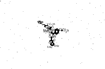 CO[C@@]1(NC(=O)C(NC(=O)c2coc3cc(OC(C)=O)c(OC(C)=O)cc3c2=O)c2ccc(OCC(=O)O)cc2)C(=O)N2C(C(=O)O)=C(CSc3nnnn3C)CS[C@@H]21